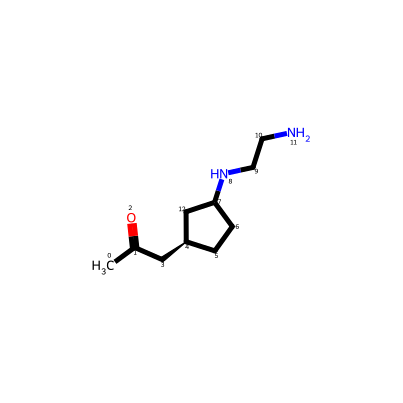 CC(=O)C[C@@H]1CCC(NCCN)C1